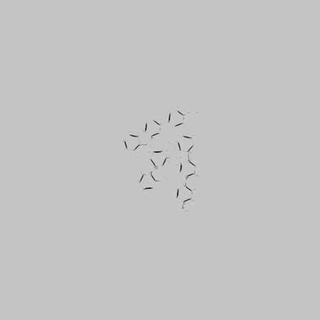 N#Cc1ccc(-c2ccc3c4ccccc4n(-c4cc(-c5ccc(C(F)(F)F)cc5C#N)cc(-n5c6ccccc6c6ccc(-c7ccc(C#N)cc7)cc65)c4C#N)c3c2)cc1